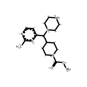 Cc1nccc(C(C2CCN(C(=O)OC(C)(C)C)CC2)N2CCNCC2)n1